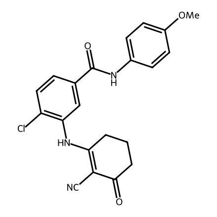 COc1ccc(NC(=O)c2ccc(Cl)c(NC3=C(C#N)C(=O)CCC3)c2)cc1